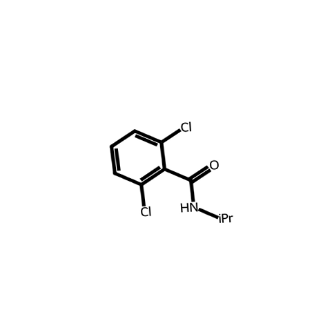 CC(C)NC(=O)c1c(Cl)cccc1Cl